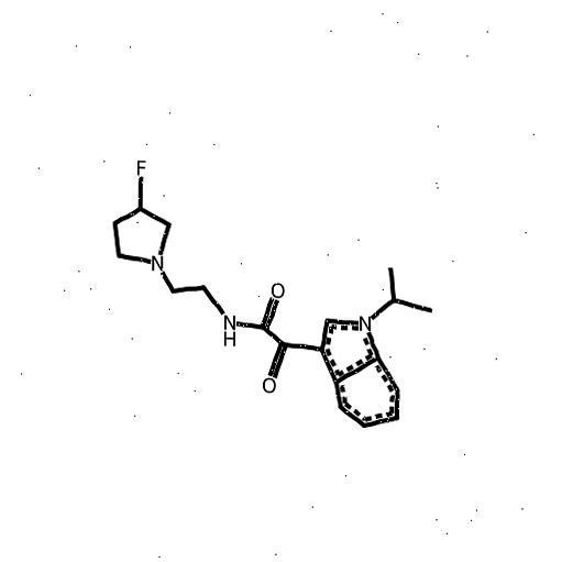 CC(C)n1cc(C(=O)C(=O)NCCN2CCC(F)C2)c2ccccc21